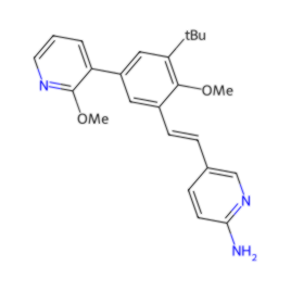 COc1ncccc1-c1cc(/C=C/c2ccc(N)nc2)c(OC)c(C(C)(C)C)c1